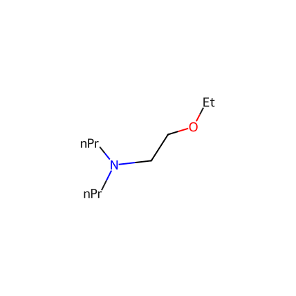 [CH2]COCCN(CCC)CCC